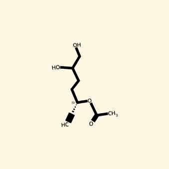 C#C[C@H](CCC(O)CO)OC(C)=O